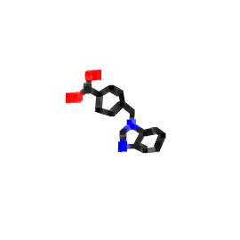 OB(O)c1ccc(Cn2cnc3ccccc32)cc1